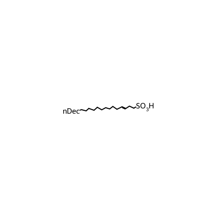 CCCCCCCCCCCCCCCCCCCCC=CCCS(=O)(=O)O